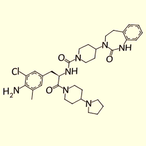 Cc1cc(C[C@@H](NC(=O)N2CCC(N3CCc4ccccc4NC3=O)CC2)C(=O)N2CCC(N3CCCC3)CC2)cc(Cl)c1N